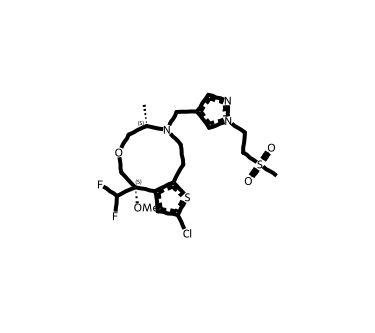 CO[C@]1(C(F)F)COC[C@H](C)N(Cc2cnn(CCS(C)(=O)=O)c2)CCc2sc(Cl)cc21